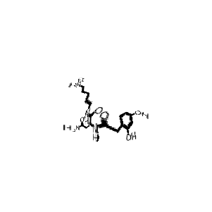 CCNCCCCCNC(=O)[C@H](CC(N)=O)NC(=O)Cc1ccc(O)cc1O